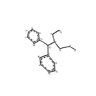 CCCC(CC)C(c1ccccc1)c1ccccc1